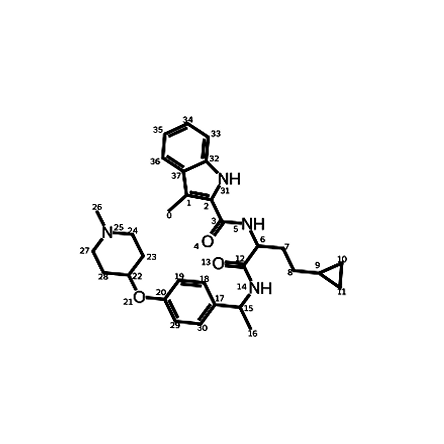 Cc1c(C(=O)NC(CCC2CC2)C(=O)NC(C)c2ccc(OC3CCN(C)CC3)cc2)[nH]c2ccccc12